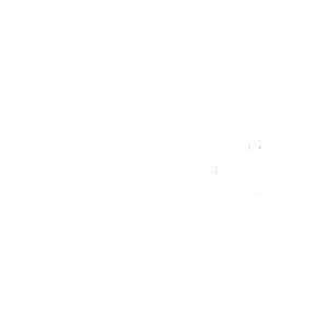 C=CC[C](Cc1ccccc1)C1(CC=C)CO1